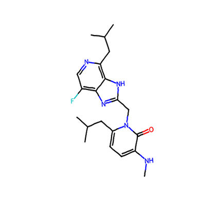 CNc1ccc(CC(C)C)n(Cc2nc3c(F)cnc(CC(C)C)c3[nH]2)c1=O